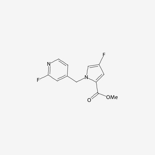 COC(=O)c1cc(F)cn1Cc1ccnc(F)c1